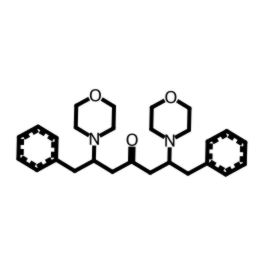 O=C(CC(Cc1ccccc1)N1CCOCC1)CC(Cc1ccccc1)N1CCOCC1